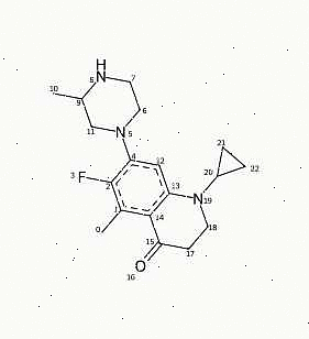 Cc1c(F)c(N2CCNC(C)C2)cc2c1C(=O)CCN2C1CC1